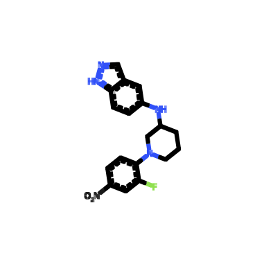 O=[N+]([O-])c1ccc(N2CCCC(Nc3ccc4[nH]ncc4c3)C2)c(F)c1